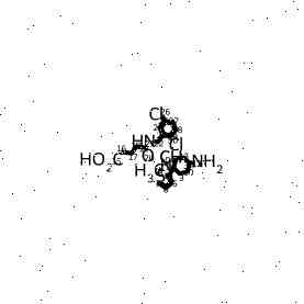 CN(C)C1(c2cccs2)CCC(N)CC1.O=C(O)CCCC(=O)NCc1cc(Cl)ccc1Cl